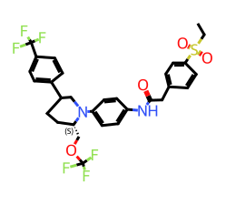 CCS(=O)(=O)c1ccc(CC(=O)Nc2ccc(N3CC(c4ccc(C(F)(F)F)cc4)CC[C@H]3COC(F)(F)F)cc2)cc1